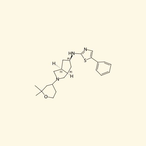 CC1(C)CC(N2C[C@H]3C[C@@H](Nc4ncc(-c5ccccc5)s4)C[C@H]3C2)CCO1